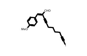 COc1ccc(/C=C(\C#CCCCCC#CI)C=O)cc1